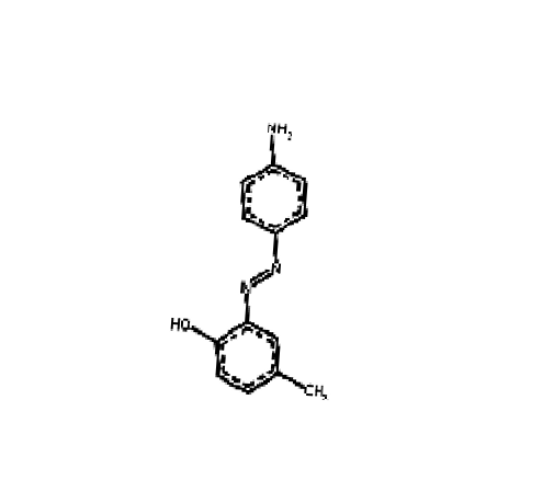 Cc1ccc(O)c(N=Nc2ccc(N)cc2)c1